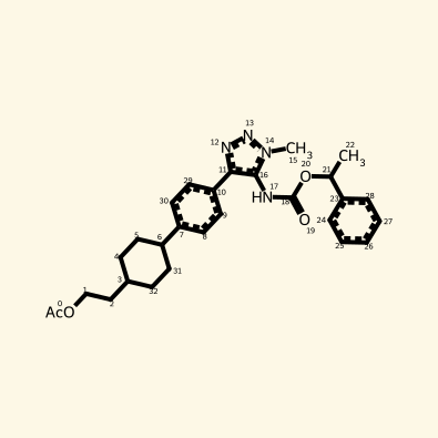 CC(=O)OCCC1CCC(c2ccc(-c3nnn(C)c3NC(=O)OC(C)c3ccccc3)cc2)CC1